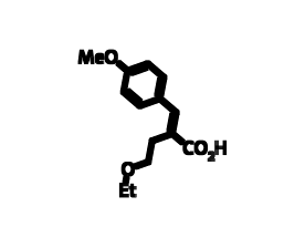 CCOCCC(=Cc1ccc(OC)cc1)C(=O)O